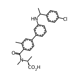 Cc1cc(-c2cccc(NC(C)c3ccc(Cl)cc3)c2)ccc1C(=O)N(C)[C@@H](C)C(=O)O